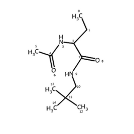 CCC(NC(C)=O)C(=O)NCC(C)(C)C